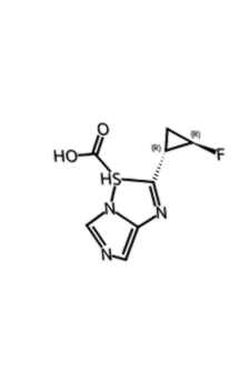 O=C(O)[SH]1C([C@@H]2C[C@H]2F)=Nc2cncn21